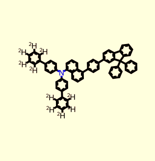 [2H]c1c([2H])c([2H])c(-c2ccc(N(c3ccc(-c4c([2H])c([2H])c([2H])c([2H])c4[2H])cc3)c3cccc4c(-c5ccc(-c6ccc7c(c6)C(c6ccccc6)(c6ccccc6)c6ccccc6-7)cc5)cccc34)cc2)c([2H])c1[2H]